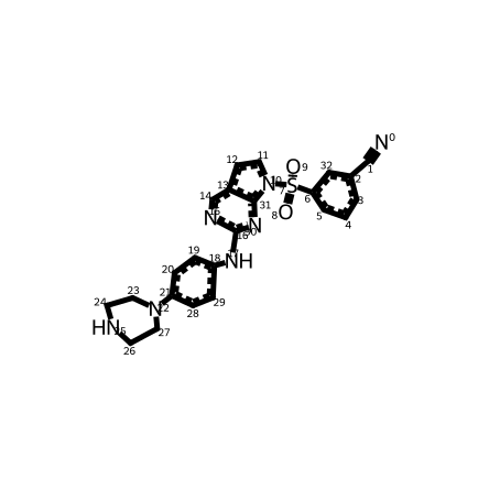 N#Cc1cccc(S(=O)(=O)n2ccc3cnc(Nc4ccc(N5CCNCC5)cc4)nc32)c1